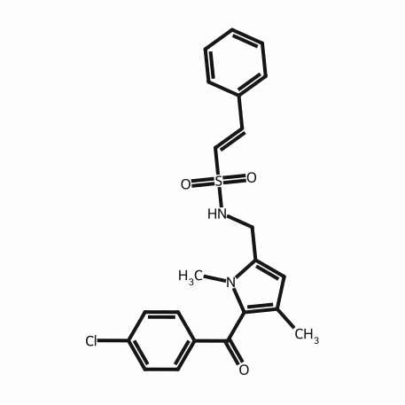 Cc1cc(CNS(=O)(=O)C=Cc2ccccc2)n(C)c1C(=O)c1ccc(Cl)cc1